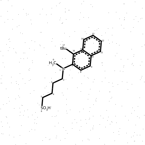 CN(CCCCS(=O)(=O)O)c1ccc2ccccc2c1C(C)(C)C